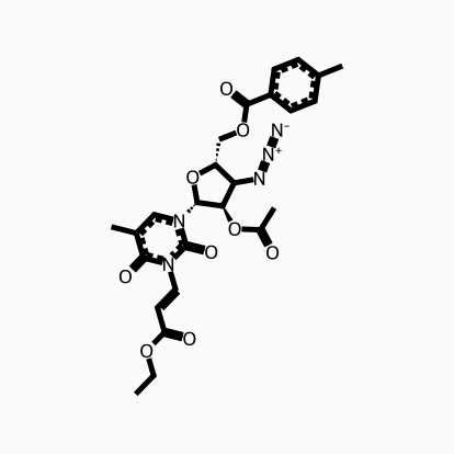 CCOC(=O)/C=C/n1c(=O)c(C)cn([C@@H]2O[C@H](COC(=O)c3ccc(C)cc3)C(N=[N+]=[N-])[C@H]2OC(C)=O)c1=O